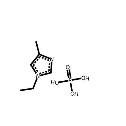 CCn1cnc(C)c1.O=P(O)(O)O